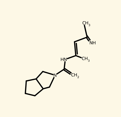 C=C(N/C(C)=C/C(C)=N)N1CC2CCCC2C1